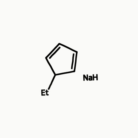 [CH2]CC1C=CC=C1.[NaH]